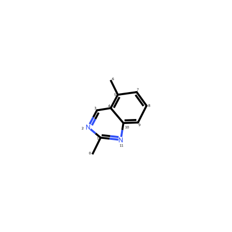 Cc1ncc2c(C)cccc2n1